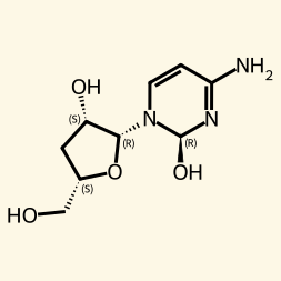 NC1=N[C@@H](O)N([C@@H]2O[C@H](CO)C[C@@H]2O)C=C1